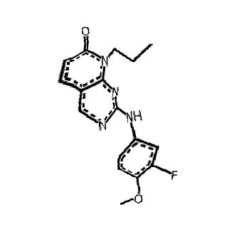 CCCn1c(=O)ccc2cnc(Nc3ccc(OC)c(F)c3)nc21